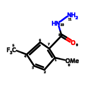 COc1ccc(C(F)(F)F)cc1C(=O)NN